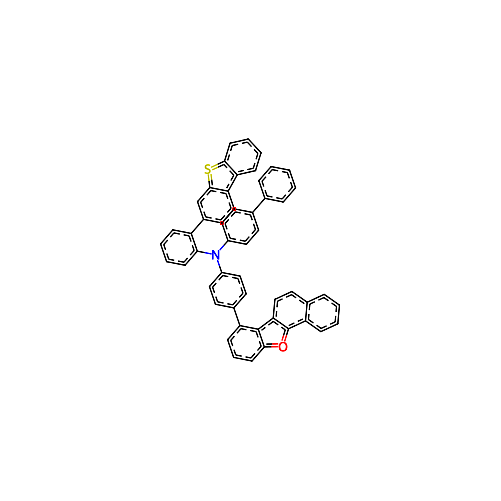 c1ccc(-c2ccc(N(c3ccc(-c4cccc5oc6c7ccccc7ccc6c45)cc3)c3ccccc3-c3ccc4c(c3)sc3ccccc34)cc2)cc1